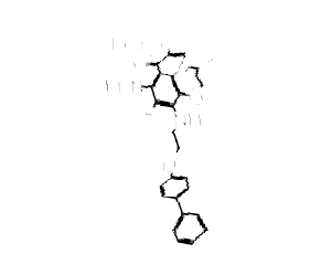 C[C@H]1COc2c(NCCOc3ccc(-c4ccccc4)cc3)c(F)c(N)c3c(=O)c(C(=O)O)cn1c23